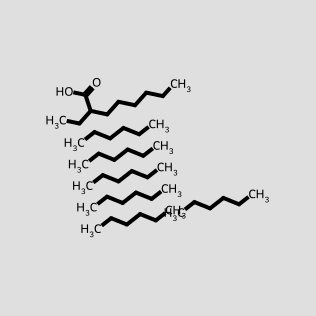 CCCCCC.CCCCCC.CCCCCC.CCCCCC.CCCCCC.CCCCCC.CCCCCCC(CC)C(=O)O